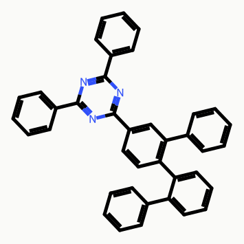 c1ccc(-c2nc(-c3ccccc3)nc(-c3ccc(-c4ccccc4-c4ccccc4)c(-c4ccccc4)c3)n2)cc1